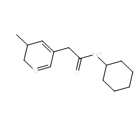 CC1C=C(CC(=O)NC2CCCCC2)C=NC1